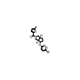 Cc1ccc(C(=O)N2C[C@@H]3CC[C@@H](Oc4ccc(Br)nn4)[C@@H]3C2)s1